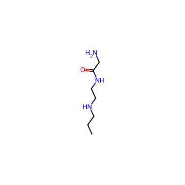 CCCNCCNC(=O)CN